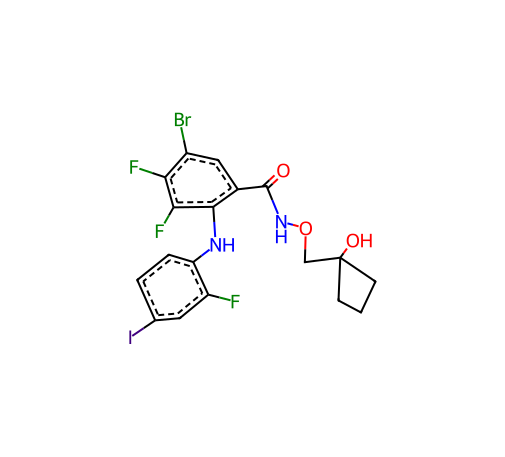 O=C(NOCC1(O)CCC1)c1cc(Br)c(F)c(F)c1Nc1ccc(I)cc1F